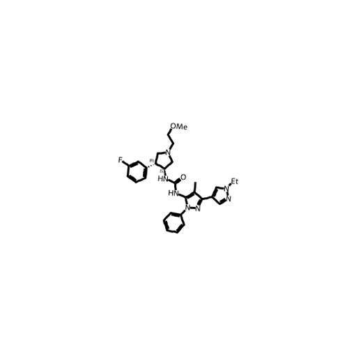 CCn1cc(-c2nn(-c3ccccc3)c(NC(=O)N[C@@H]3CN(CCOC)C[C@H]3c3cccc(F)c3)c2C)cn1